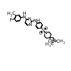 Cc1cc(Nc2ccnc(Nc3ccc(S(=O)(=O)N4CCC(O)(CN(C)C)CC4)cc3)n2)ccc1F